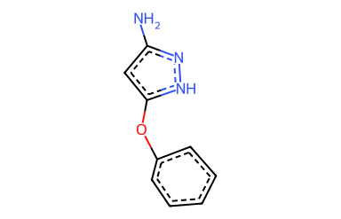 Nc1cc(Oc2ccccc2)[nH]n1